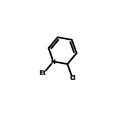 CCN1C=CC=CC1Cl